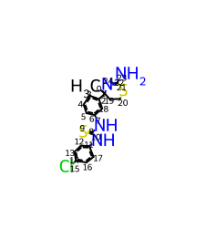 CC1(c2cccc(NC(=S)Nc3ccc(Cl)cc3)c2)CCSC(N)=N1